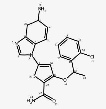 BC1C=Cc2c(ncn2-c2cc(OC(C)c3ccccc3Cl)c(C(N)=O)s2)C1